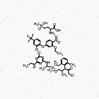 CCNc1nc(Cl)nc(NC(C)C)n1.CCOc1cc(Oc2ccc(C(F)(F)F)cc2Cl)ccc1[N+](=O)[O-].CCc1cccc(C)c1N(C(=O)CCl)C(C)COC.CP(=O)(O)CCC(N)C(=O)O